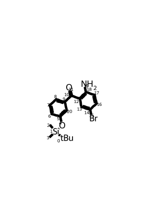 CC(C)(C)[Si](C)(C)Oc1cccc(C(=O)c2cc(Br)ccc2N)c1